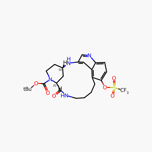 CC(C)(C)OC(=O)N1CC[C@H]2C[C@H]1C(=O)NCCCCc1c(OS(=O)(=O)C(F)(F)F)ccc3ncc(cc13)N2